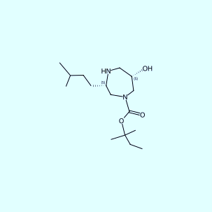 CCC(C)(C)OC(=O)N1C[C@@H](O)CN[C@@H](CCC(C)C)C1